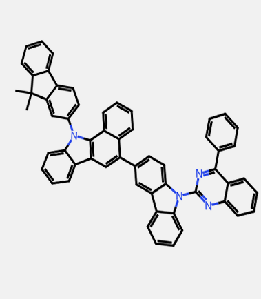 CC1(C)c2ccccc2-c2ccc(-n3c4ccccc4c4cc(-c5ccc6c(c5)c5ccccc5n6-c5nc(-c6ccccc6)c6ccccc6n5)c5ccccc5c43)cc21